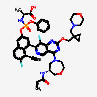 C#Cc1c(F)ccc2cc(OP(=O)(N[C@@H](C)C(=O)O)Oc3ccccc3)cc(-c3ncc4c(N5CCOC[C@H](NC(=O)C=C)C5)nc(OCC5(CN6CCOCC6)CC5)nc4c3F)c12